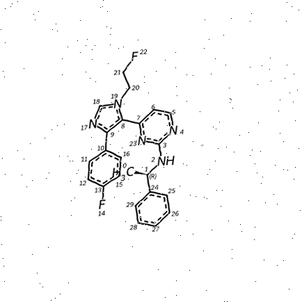 C[C@@H](Nc1nccc(-c2c(-c3ccc(F)cc3)ncn2CCF)n1)c1ccccc1